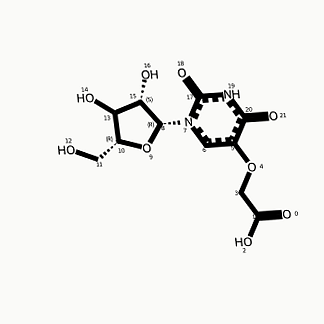 O=C(O)COc1cn([C@@H]2O[C@H](CO)C(O)[C@@H]2O)c(=O)[nH]c1=O